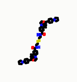 CC1(C)c2cc(C(=O)NCCSSCCNC(=O)c3ccc4c(c3)C(C)(C)C3(/C=C/c5ccc(N6CCCC6)cc5)OCCN43)ccc2N2CCOC21/C=C/C1=CCC(N2CCCC2)C=C1